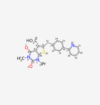 CC(C)n1c(=O)n(C)c(=O)c2c(C(=O)O)c(Cc3ccc(-c4ccccn4)cc3)sc21